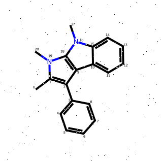 Cc1c(-c2ccccc2)c2c3ccccc3n(C)c2n1C